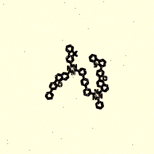 CC1(C)c2ccccc2-c2ccc(-c3nc(-c4cccc(-c5ccc(-c6cccc(-c7nc(-c8ccccc8)nc(-c8cccc9c8ccc8c%10ccc(-c%11cccc%12c%11sc%11ccccc%11%12)cc%10oc98)n7)c6)cc5)c4)nc(-c4ccc5c(ccc6c7ccc(-c8ccccc8)cc7oc56)c4)n3)cc21